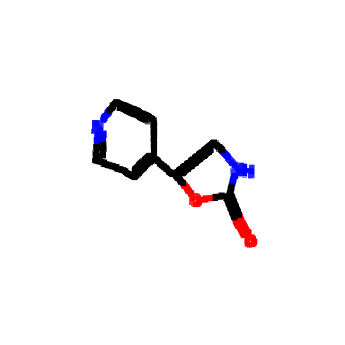 O=c1[nH]cc(-c2ccncc2)o1